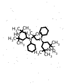 CC1(C)CC(N(CC(C)(O)N(C2CCCCC2)C2CC(C)(C)NC(C)(C)C2)C2CCCCC2)CC(C)(C)N1